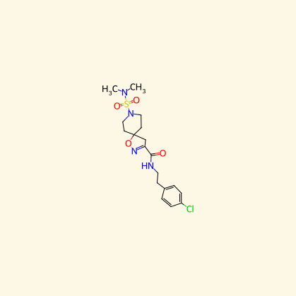 CN(C)S(=O)(=O)N1CCC2(CC1)CC(C(=O)NCCc1ccc(Cl)cc1)=NO2